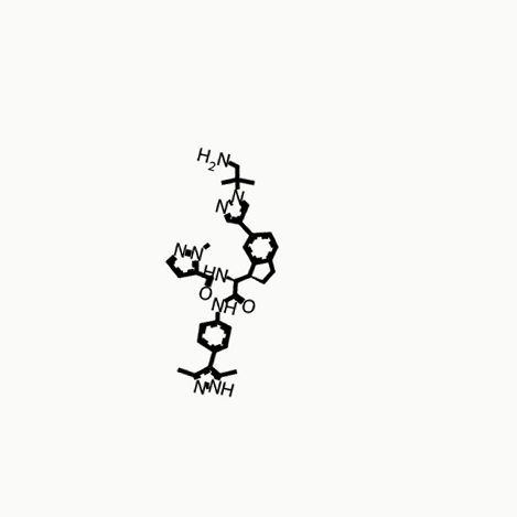 Cc1n[nH]c(C)c1-c1ccc(NC(=O)[C@@H](NC(=O)c2ccnn2C)[C@@H]2CCc3ccc(-c4cnn(C(C)(C)CN)c4)cc32)cc1